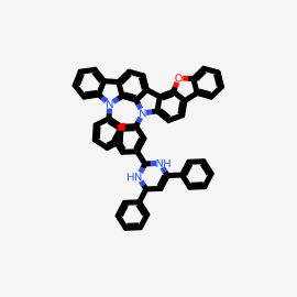 C1=C(c2ccccc2)NC(c2cccc(-n3c4ccc5c6ccccc6oc5c4c4ccc5c6ccccc6n(-c6ccccc6)c5c43)c2)NC1c1ccccc1